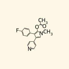 CC(=O)Oc1c(-c2ccc(F)cc2)c(-c2ccncc2)cn1C